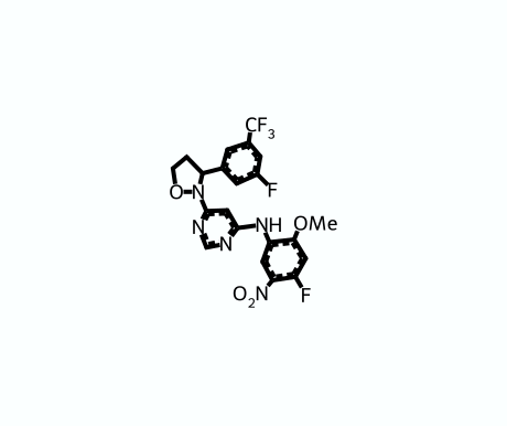 COc1cc(F)c([N+](=O)[O-])cc1Nc1cc(N2OCCC2c2cc(F)cc(C(F)(F)F)c2)ncn1